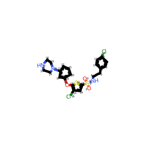 O=S(=O)(NCCc1ccc(Cl)cc1)c1cc(Cl)c(Oc2cccc(N3CCNCC3)c2)s1